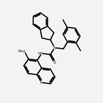 CSc1ccc2ncccc2c1NC(=O)N(Cc1cc(C)ccc1C)C1Cc2ccccc2C1